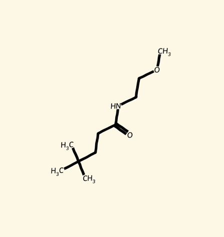 COCCNC(=O)CCC(C)(C)C